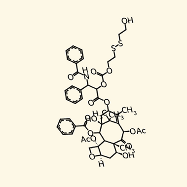 CC(=O)O[C@H]1C(=O)[C@@]2(C)C(C(OC(=O)c3ccccc3)[C@]3(O)CC(OC(=O)C(OC(=O)OCCSSCCO)C(NC(=O)c4ccccc4)c4ccccc4)C(C)=C1C3(C)C)[C@]1(OC(C)=O)CO[C@@H]1C[C@@H]2O